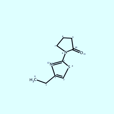 CCc1csc(N2CCCC2=O)n1